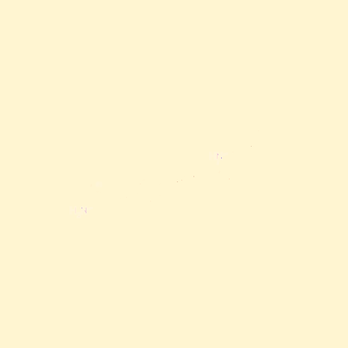 CC1(C)CC(NC(=O)C23CCC(c4ccc(OC/C(=C/F)CN)cc4)(CC2)CC3)C1